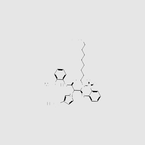 CCCCCCCCCCCCCCCCCCN1C(C(C(=O)Nc2ccccc2OC)n2ccc(C(=O)O)c2)=Nc2ccccc2S1(=O)=O